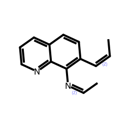 C/C=C\c1ccc2cccnc2c1/N=C\C